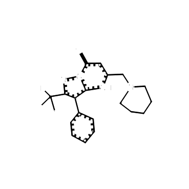 O=c1cc(CN2CCCCC2)[nH]c2c(-c3ccccc3)c(C(F)(F)F)nn12